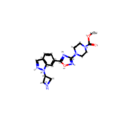 CC(C)(C)OC(=O)N1CCN(c2noc(-c3ccc4cnn(C5CNC5)c4c3)n2)CC1